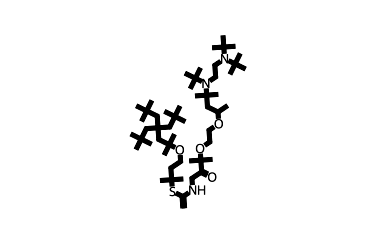 C=C(NCC(=O)C(C)(C)OCCOC(C)CC(C)(C)N(CCN(C(C)(C)C)C(C)(C)C)C(C)(C)C)SC(C)(C)CCOC(C)(C)CC(CC(C)(C)C)(CC(C)(C)C)CC(C)(C)C